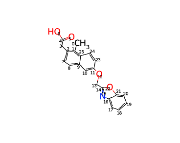 Cc1c(CC(=O)O)ccc2cc(OCc3nc4ccccc4o3)ccc12